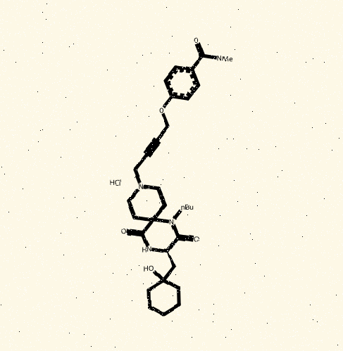 CCCCN1C(=O)[C@@H](CC2(O)CCCCC2)NC(=O)C12CCN(CC#CCOc1ccc(C(=O)NC)cc1)CC2.Cl